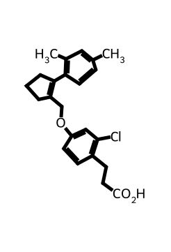 Cc1ccc(C2=C(COc3ccc(CCC(=O)O)c(Cl)c3)CCC2)c(C)c1